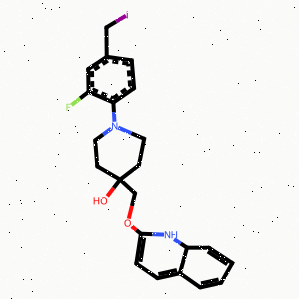 OC1(COC2=CC=C3C=CC=CC3N2)CCN(c2ccc(CI)cc2F)CC1